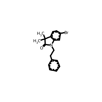 CC1(C)C(=O)N(CCc2ccccc2)c2cc(Br)ccc21